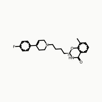 Cc1cccc2c1O[C@H](CCCCN1CC=C(c3ccc(F)cc3)CC1)NC2=O